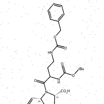 C=C[C@H]1CC[C@@H](C(=O)O)N1C(=O)C(CCNC(=O)OCc1ccccc1)NC(=O)OC(C)(C)C